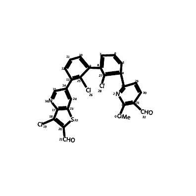 COc1nc(-c2cccc(-c3cccc(-c4cnc5c(Cl)c(C=O)sc5c4)c3Cl)c2Cl)ccc1C=O